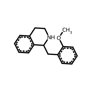 COc1ccccc1CC1NCCc2ccccc21